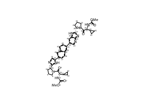 COC(=O)N[C@H](C(=O)N1CCC[C@H]1c1ncc(-c2ccc3cc(-c4cnc5nc([C@@H]6CCCN6C(=O)[C@@H](NC(=O)OC)C6CC6)[nH]c5c4)ccc3c2)[nH]1)C1CC1